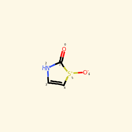 O=c1[nH]cc[s+]1[O-]